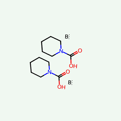 O=C(O)N1CCCCC1.O=C(O)N1CCCCC1.[B].[B]